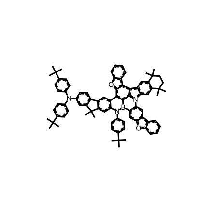 CC(C)(C)c1ccc(N2B3c4cc5oc6ccccc6c5cc4-n4c5cc6c(cc5c5c7c(oc8ccccc87)c(c3c54)-c3cc4c(cc32)C(C)(C)c2cc(N(c3ccc(C(C)(C)C)cc3)c3ccc(C(C)(C)C)cc3)ccc2-4)C(C)(C)CCC6(C)C)cc1